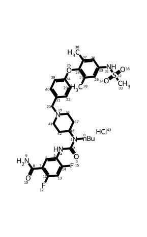 CCCCN(C(=O)Nc1cc(C(N)=O)c(F)cc1F)C1CCN(Cc2ccc(Oc3c(C)cc(NS(C)(=O)=O)cc3C)cc2)CC1.Cl